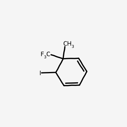 CC1(C(F)(F)F)C=CC=CC1I